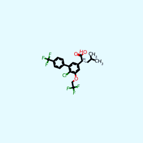 CC(C)C[C@@H](C(=O)O)c1cc(OCC(F)(F)F)c(Cl)c(-c2ccc(C(F)(F)F)cc2)c1